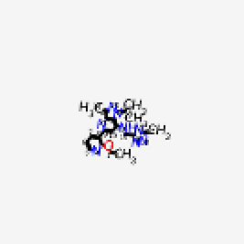 CCOc1ncccc1-c1cc(NCC2=NC(C)N=N2)c2c(n1)c(C)nn2C(C)C